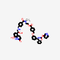 CN(CCOC(=O)c1ccc(COc2cccc([C@@H](NC(=O)OC3CN4CCC3CC4)c3ccccc3)c2)cc1)C(=O)c1ccc(CNCC(O)c2ccc(O)c3[nH]c(=O)ccc23)cc1